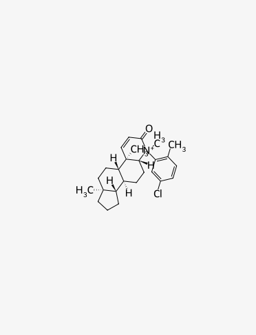 Cc1ccc(Cl)cc1[N+]1(C)C(=O)C=C[C@@]2(C)[C@H]1CC[C@H]1[C@@H]3CCC[C@@]3(C)CC[C@@H]12